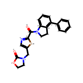 O=C1OCCN1Cc1cnc(C(=O)N2CCc3c(-c4ccccc4)cccc32)s1